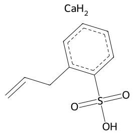 C=CCc1ccccc1S(=O)(=O)O.[CaH2]